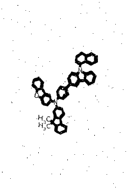 CC1(C)c2ccccc2-c2ccc(N(c3ccc(-c4ccc5c(c4)c4ccccc4n5-c4cccc5ccccc45)cc3)c3ccc4oc5ccccc5c4c3)cc21